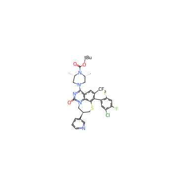 C[C@@H]1CN(c2nc(=O)n3c4c(c(-c5cc(Cl)c(F)cc5F)c(C(F)(F)F)cc24)SC[C@@H](c2cccnc2)C3)C[C@H](C)N1C(=O)OC(C)(C)C